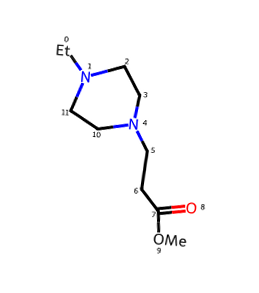 CCN1CCN(CCC(=O)OC)CC1